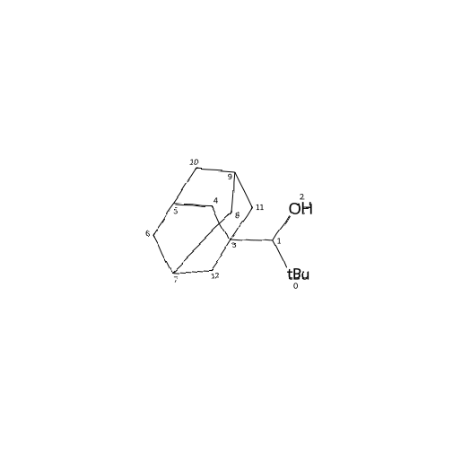 CC(C)(C)C(O)C12CC3CC(CC(C3)C1)C2